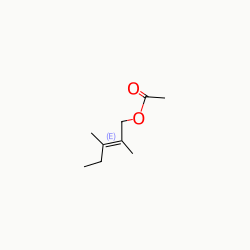 CC/C(C)=C(\C)COC(C)=O